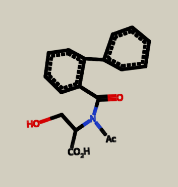 CC(=O)N(C(=O)c1ccccc1-c1ccccc1)C(CO)C(=O)O